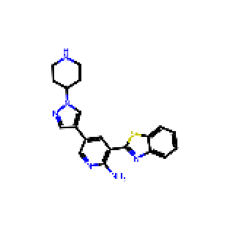 Nc1ncc(-c2cnn(C3CCNCC3)c2)cc1-c1nc2ccccc2s1